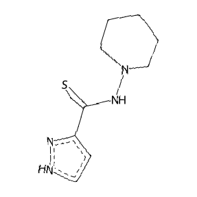 S=C(NN1CCCCC1)c1cc[nH]n1